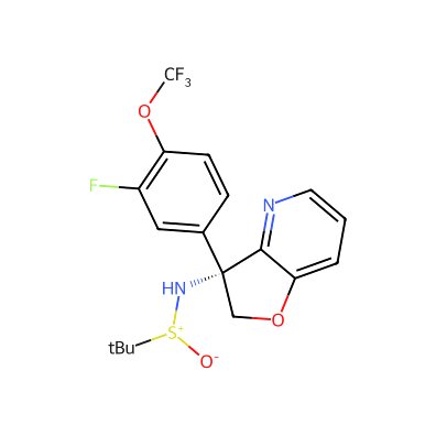 CC(C)(C)[S+]([O-])N[C@@]1(c2ccc(OC(F)(F)F)c(F)c2)COc2cccnc21